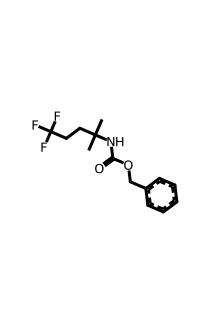 CC(C)(CCC(F)(F)F)NC(=O)OCc1ccccc1